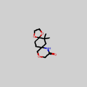 CC1(C)CC2(CCC13OCCO3)COCC(=O)N2